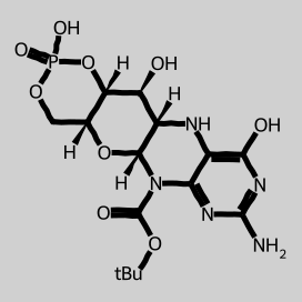 CC(C)(C)OC(=O)N1c2nc(N)nc(O)c2N[C@H]2[C@H](O)[C@H]3OP(=O)(O)OC[C@H]3O[C@H]21